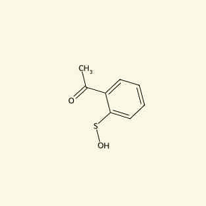 CC(=O)c1ccccc1SO